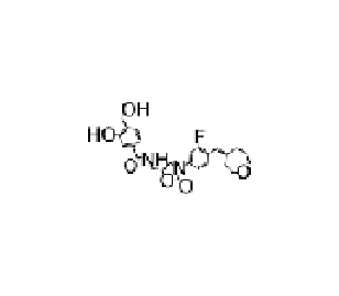 O=C(NC[C@H]1CN(c2ccc(/C=C3/CCCOCC3)c(F)c2)C(=O)O1)c1ccc(CO)c(O)c1